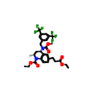 CCOC(=O)CCc1ccc2c(c1)[C@@H](N(Cc1cc(C(F)(F)F)cc(C(F)(F)F)c1)C(=O)OC)C[C@@H](C)N2C(=O)OCC